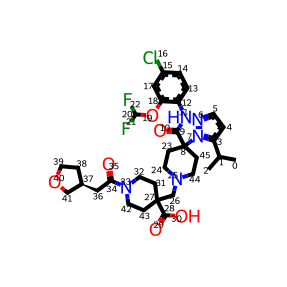 CC(C)c1ccnn1C1(C(=O)Nc2ccc(Cl)cc2OC(F)F)CCN(CC2(C(=O)O)CCN(C(=O)C[C@@H]3CCOC3)CC2)CC1